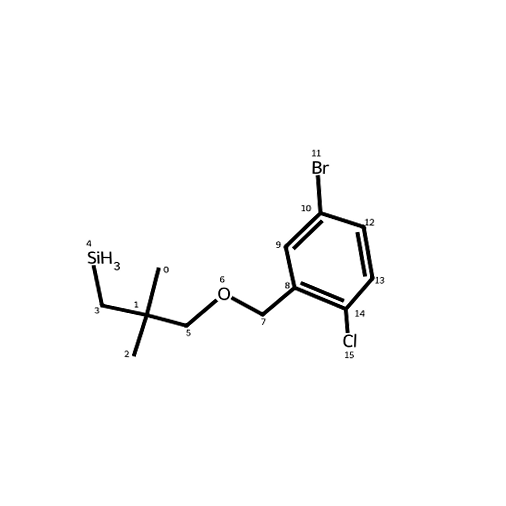 CC(C)(C[SiH3])COCc1cc(Br)ccc1Cl